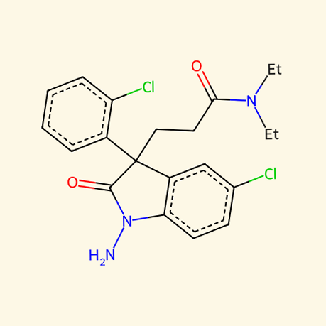 CCN(CC)C(=O)CCC1(c2ccccc2Cl)C(=O)N(N)c2ccc(Cl)cc21